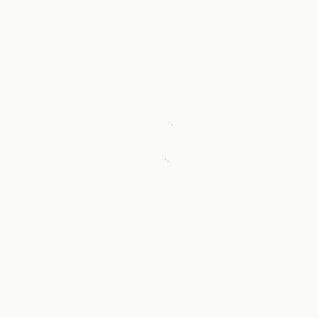 CC(O)N(Cc1ccccc1)c1ccccn1